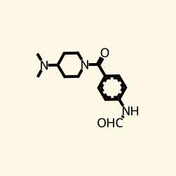 CN(C)C1CCN(C(=O)c2ccc(NC=O)cc2)CC1